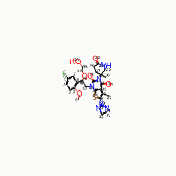 COc1ccc(F)cc1[C@H](Cn1c(=O)n([C@]2(C)CCC(=O)NC2)c(=O)c2c(C)c(-n3nccn3)sc21)OCCO